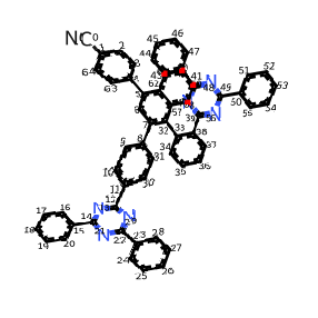 N#Cc1ccc(-c2cc(-c3ccc(-c4nc(-c5ccccc5)nc(-c5ccccc5)n4)cc3)c(-c3ccccc3-c3nc(-c4ccccc4)nc(-c4ccccc4)n3)c3ccccc23)cc1